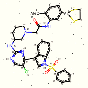 COc1ccc([As]2SCCS2)cc1NC(=O)CN1CCCC(Nc2ncc(Cl)c(-c3cn(S(=O)(=O)c4ccccc4)c4ccccc34)n2)C1